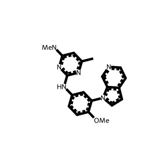 CNc1cc(C)nc(Nc2ccc(OC)c(-n3ccc4ccncc43)c2)n1